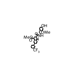 COC[C@H](Cc1ccc(O)cc1)NC(=O)c1cc(C(=O)OC)c2cc(-c3cccc(C(F)(F)F)c3)ccc2n1